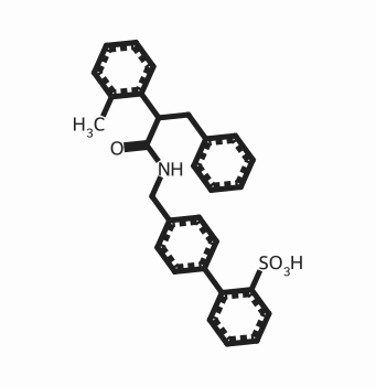 Cc1ccccc1C(Cc1ccccc1)C(=O)NCc1ccc(-c2ccccc2S(=O)(=O)O)cc1